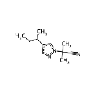 CCC(C)c1cnn(C(C)(C)C#N)c1